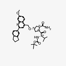 COc1ccc2c(CO[C@@H]3C[C@@H](C(N)=O)N(C(=O)[C@@H](NC(=O)OC(C)(C)C)C(C)C)C3)cc(-c3ccc4c(c3)CCC4)nc2c1